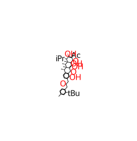 CC(=O)C1=C(O)C(C(C)C)[C@@]2(C)[C@H](C)[C@]3(C)C(=C(O)[C@@]2(O)C1=O)C(=O)c1c(ccc(CC(=O)Cc2ccc(C)cc2C(C)(C)C)c1O)[C@H]3C